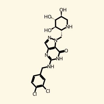 O=c1[nH]c(NCc2ccc(Cl)c(Cl)c2)nc2cnn(C[C@H]3NC[C@H](O)[C@@H](O)[C@@H]3O)c12